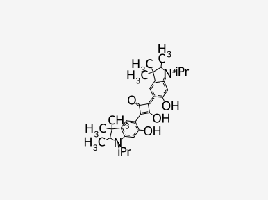 CC(C)N1c2cc(O)c(C3=C(O)/C(=c4/cc5c(cc4O)=[N+](C(C)C)C(C)C5(C)C)C3=O)cc2C(C)(C)C1C